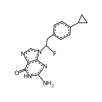 Nc1nc2c(ncn2C(F)Cc2ccc(C3CC3)cc2)c(=O)[nH]1